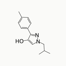 Cc1ccc(-c2nn(CC(C)C)cc2O)cc1